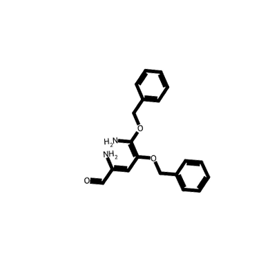 N/C(C=O)=C\C(OCc1ccccc1)=C(/N)OCc1ccccc1